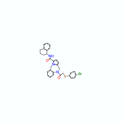 O=C(NC1CCCc2ccccc21)c1ccc2n1Cc1ccccc1N(C(=O)CSc1ccc(Br)cc1)C2